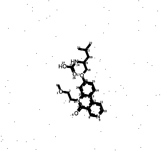 COCCn1c(=O)c2cnccc2c2ccc(OCC(CC(C)C)NC(=O)O)cc21